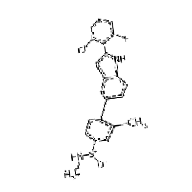 CN[S+]([O-])c1ccc(-c2ccc3[nH]c(-c4c(F)cccc4Cl)cc3c2)c(C)c1